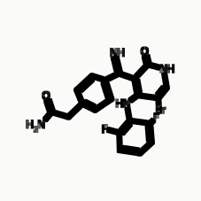 N=C(c1ccc(CC(N)=O)cc1)c1c(Nc2c(F)cccc2F)c(Br)c[nH]c1=O